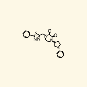 O=C1C(=O)N([C@H]2CC[C@H](c3ccccc3)C2)CCN1Cc1nnc(-c2ccccc2)s1